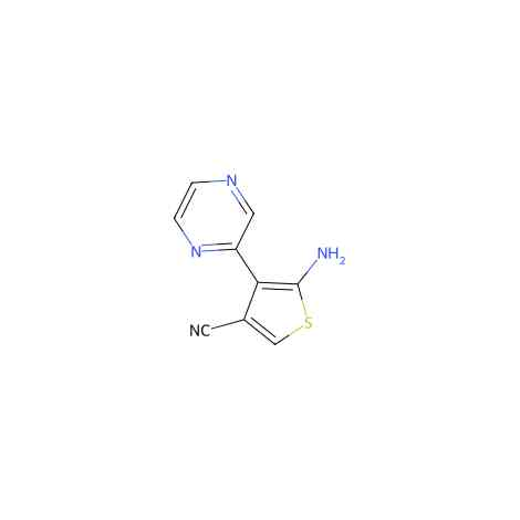 N#Cc1csc(N)c1-c1cnccn1